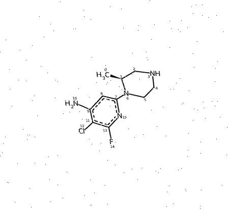 C[C@H]1CNCCN1c1cc(N)c(Cl)c(F)n1